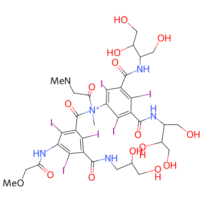 CNCC(=O)[N+](C)(C(=O)c1c(I)c(NC(=O)COC)c(I)c(C(=O)NCC(O)CO)c1I)c1c(I)c(C(=O)NC(CO)C(O)CO)c(I)c(C(=O)NC(CO)C(O)CO)c1I